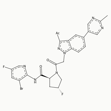 CC(=O)c1nn(CC(=O)N2C[C@H](F)C[C@H]2C(=O)Nc2ncc(F)cc2Br)c2ccc(-c3cnc(C)nc3)cc12